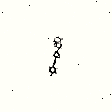 Cc1ccc(C#Cc2ccc(N3CCN4CCOC[C@H]4C3)nc2)cc1